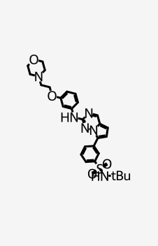 CC(C)(C)NS(=O)(=O)c1cccc(-c2ccc3cnc(Nc4cccc(OCCN5CCOCC5)c4)nn23)c1